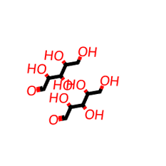 O=CC(O)C(O)C(O)CO.O=CC(O)C(O)C(O)CO